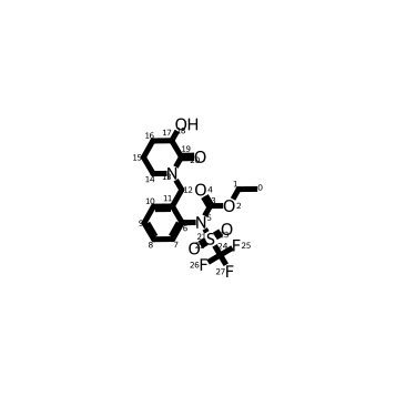 CCOC(=O)N(c1ccccc1CN1CCCC(O)C1=O)S(=O)(=O)C(F)(F)F